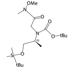 CON(C)C(=O)CN(C(=O)OC(C)(C)C)[C@@H](C)CO[Si](C)(C)C(C)(C)C